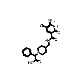 Nc1[nH]c(=O)c(C(=O)NCC2CCN(C(C(=O)O)c3ccccc3)CC2)cc1Cl